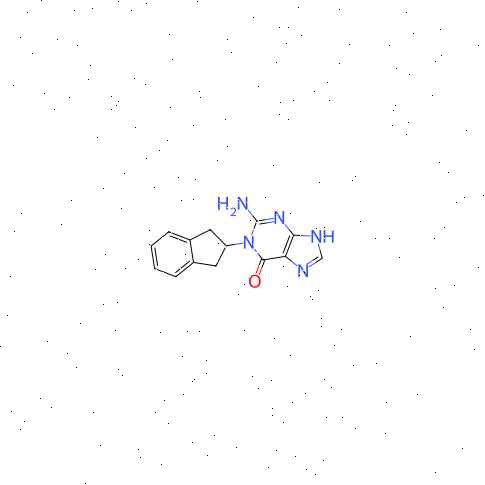 Nc1nc2[nH]cnc2c(=O)n1C1Cc2ccccc2C1